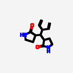 C=CC(C=C)C(C1CCNC1=O)C1CCNC1=O